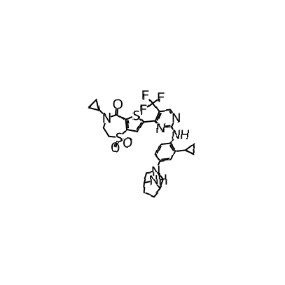 O=C1c2sc(-c3nc(Nc4ccc(N5CC6CCC(C5)N6)cc4C4CC4)ncc3C(F)(F)F)cc2S(=O)(=O)CCN1C1CC1